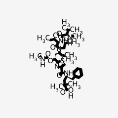 CCCN(C(=O)[C@@H](NC(=O)[C@H](NC)C(C)C)[C@@H](C)CC)[C@H](C[C@@H](OC(=O)NC)c1nc(C(=O)N[C@@H](Cc2ccccc2)CC(C)(C)C(=O)O)cs1)C(C)C